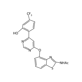 CC(=O)Nc1nc2c(Oc3cc(-c4ccc(C(F)(F)F)cc4O)ncn3)cccc2s1